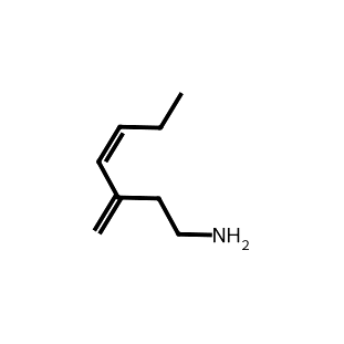 C=C(/C=C\CC)CCN